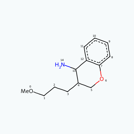 COCCCC1COc2ccccc2C1N